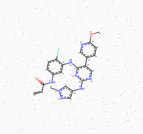 C=CC(=O)Nc1ccc(F)c(Nc2nc(Nc3cnn(C)c3)ncc2-c2ccc(OC)nc2)c1